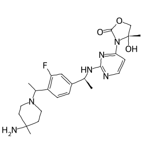 CC(c1ccc([C@H](C)Nc2nccc(N3C(=O)OC[C@]3(C)O)n2)cc1F)N1CCC(C)(N)CC1